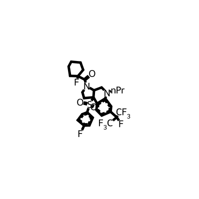 CCCN1CC2N(C(=O)C3(F)CCCCC3)CCC2(S(=O)(=O)c2ccc(F)cc2)c2ccc(C(F)(C(F)(F)F)C(F)(F)F)cc21